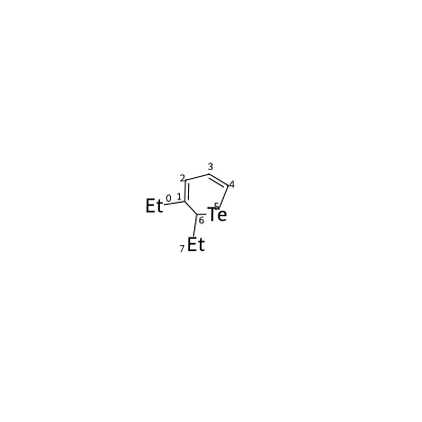 CCC1=CC=C[Te]C1CC